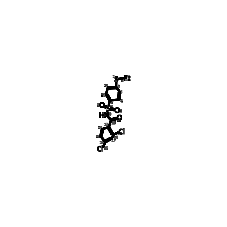 CCSc1ccc(S(=O)(=O)NC(=O)c2ccc(Cl)cc2Cl)cc1